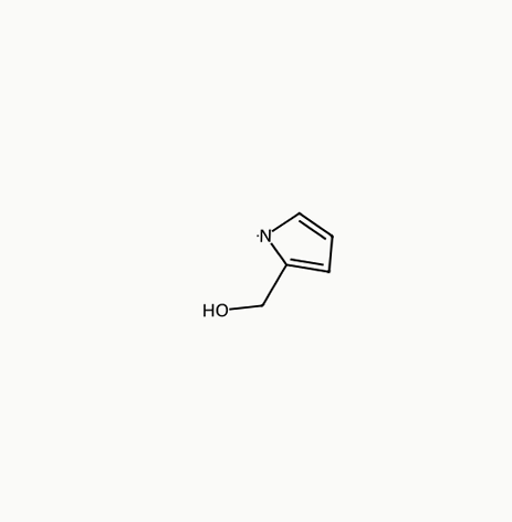 OCC1=CC=C[N]1